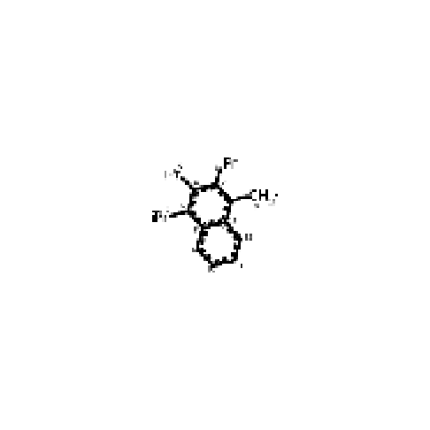 [CH2]c1c(C(C)C)c(C(C)C)c(C(C)C)c2ccccc12